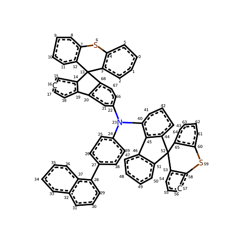 c1ccc2c(c1)Sc1ccccc1C21c2ccccc2-c2cc(N(c3ccc(-c4cccc5ccccc45)cc3)c3cccc4c3-c3ccccc3C43c4ccccc4Sc4ccccc43)ccc21